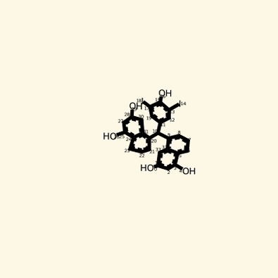 Oc1cc(O)c2cccc(C(c3cc(I)c(O)c(I)c3)c3cccc4c(O)cc(O)cc34)c2c1